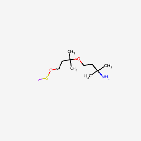 CC(C)(N)CCOC(C)(C)CCOSI